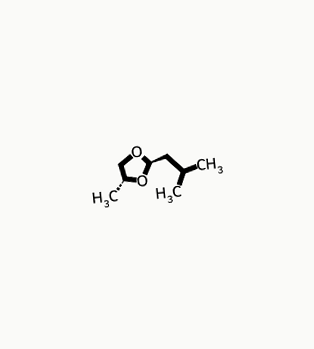 CC(C)C[C@@H]1OC[C@@H](C)O1